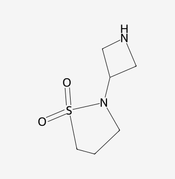 O=S1(=O)CCCN1C1CNC1